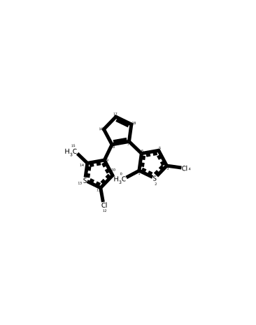 Cc1sc(Cl)cc1C1=C(c2cc(Cl)sc2C)CC=C1